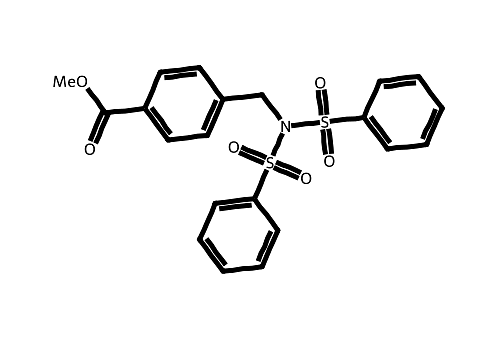 COC(=O)c1ccc(CN(S(=O)(=O)c2ccccc2)S(=O)(=O)c2ccccc2)cc1